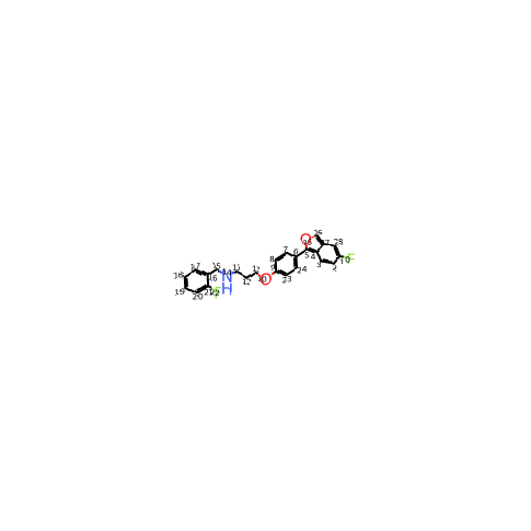 Fc1ccc2c(-c3ccc(OCCCNCc4ccccc4F)cc3)occ2c1